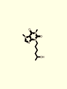 CC(O)CCCCn1c(=O)n(C)c(=O)c2c1ncn2C